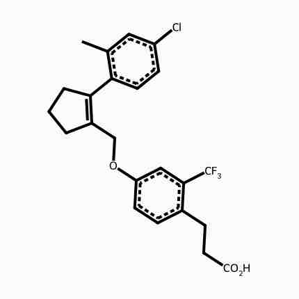 Cc1cc(Cl)ccc1C1=C(COc2ccc(CCC(=O)O)c(C(F)(F)F)c2)CCC1